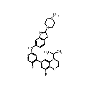 CC(C)N1CCOc2c(F)cc(-c3nc(Nc4ccc5sc(N6CCN(C)CC6)nc5c4)ncc3F)cc21